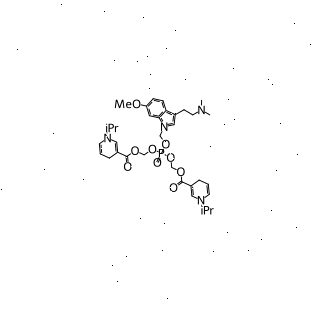 COc1ccc2c(CCN(C)C)cn(COP(=O)(OCOC(=O)C3=CN(C(C)C)C=CC3)OCOC(=O)C3=CN(C(C)C)C=CC3)c2c1